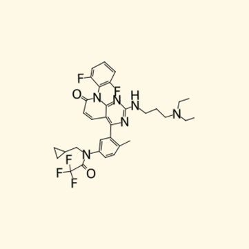 CCN(CC)CCCNc1nc(-c2cc(N(CC3CC3)C(=O)C(F)(F)F)ccc2C)c2ccc(=O)n(-c3c(F)cccc3F)c2n1